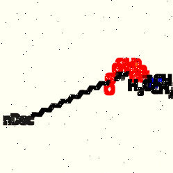 CCCCCCCCCCCCCCCCCCCCCCCCCC(=O)OC[C@H](COP(=O)(O)OCC[N+](C)(C)C)OO